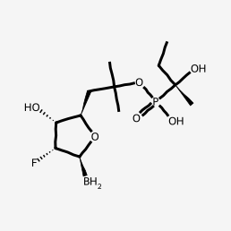 B[C@@H]1O[C@H](CC(C)(C)OP(=O)(O)[C@@](C)(O)CC)[C@@H](O)[C@H]1F